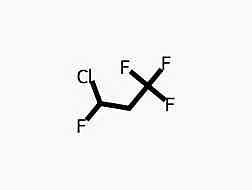 F[C](Cl)CC(F)(F)F